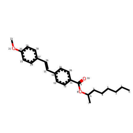 CCCCCCC(C)OC(=O)c1ccc(C=Cc2ccc(OC)cc2)cc1